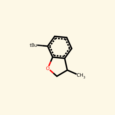 CC1COc2c1cccc2C(C)(C)C